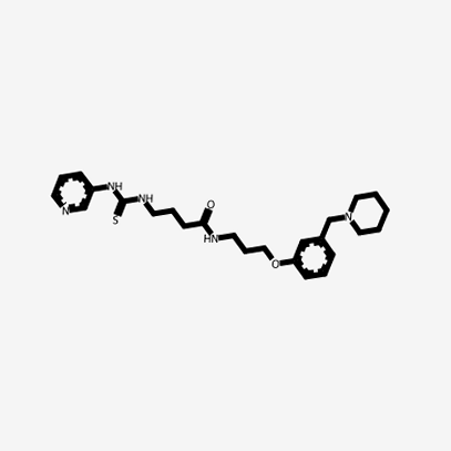 O=C(CCCNC(=S)Nc1cccnc1)NCCCOc1cccc(CN2CCCCC2)c1